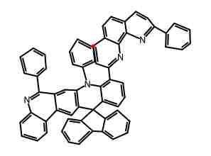 c1ccc(-c2ccc3ccc4ccc(-c5cccc6c5N(c5ccccc5)c5cc7c(-c8ccccc8)nc8ccccc8c7cc5C65c6ccccc6-c6ccccc65)nc4c3n2)cc1